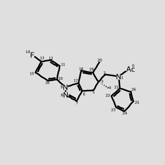 CC(=O)N(C[C@@]1(C)Cc2cnn(-c3ccc(F)cc3)c2C=C1C)c1ccccc1